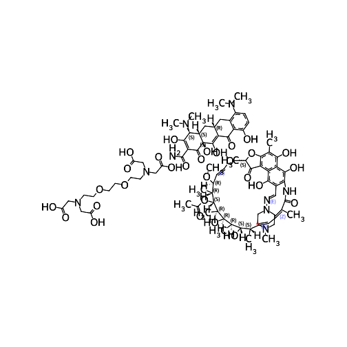 CN(C)c1ccc(O)c2c1C[C@H]1C[C@H]3[C@H](N(C)C)C(O)=C(C(N)=O)C(=O)[C@@]3(O)C(O)=C1C2=O.CO[C@H]1/C=C/O[C@@]2(C)Oc3c(C)c(O)c4c(O)c(c(/C=N/N5CCN(C)CC5)c(O)c4c3C2=O)NC(=O)/C(C)=C\C=C\[C@H](C)[C@H](O)[C@@H](C)[C@@H](O)[C@@H](C)[C@H](OC(C)=O)[C@@H]1C.O=C(O)CN(CCOCCOCCN(CC(=O)O)CC(=O)O)CC(=O)O